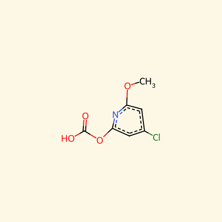 COc1cc(Cl)cc(OC(=O)O)n1